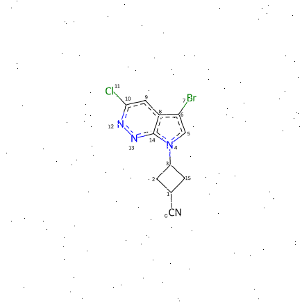 N#CC1CC(n2cc(Br)c3cc(Cl)nnc32)C1